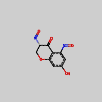 O=Nc1cc(O)cc2c1C(=O)[C@@H](N=O)CO2